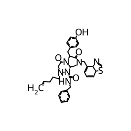 C=CCCCN1CC(=O)N2C(Cc3ccc(O)cc3)C(=O)N(CC3=CC=CC4SC=NC34)CC2N1C(=O)NCc1ccccc1